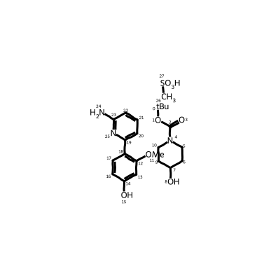 CC(C)(C)OC(=O)N1CCC(O)CC1.COc1cc(O)ccc1-c1cccc(N)n1.CS(=O)(=O)O